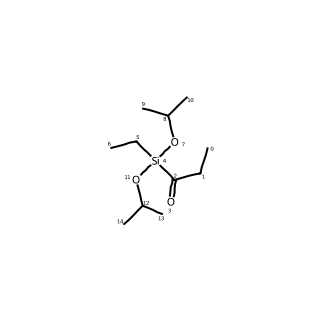 CCC(=O)[Si](CC)(OC(C)C)OC(C)C